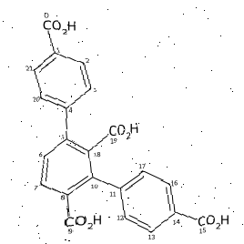 O=C(O)c1ccc(-c2ccc(C(=O)O)c(-c3ccc(C(=O)O)cc3)c2C(=O)O)cc1